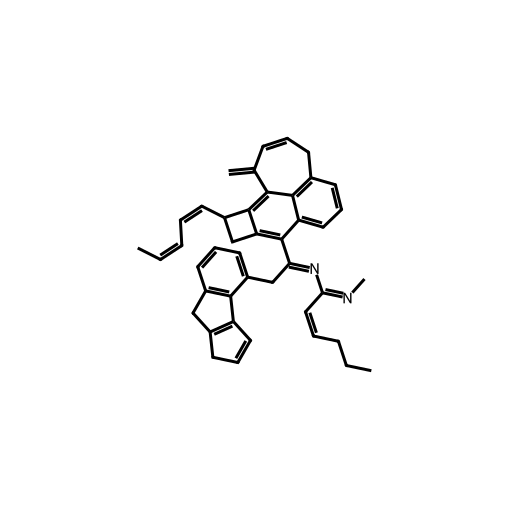 C=C1C=CCc2cccc3c(/C(Cc4cccc5c4C4=C(CC=C4)C5)=N/C(/C=C\CCC)=N\C)c4c(c1c23)C(/C=C\C=C/C)C4